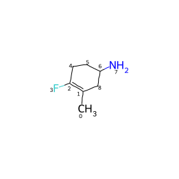 CC1=C(F)CCC(N)C1